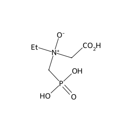 CC[N+]([O-])(CC(=O)O)CP(=O)(O)O